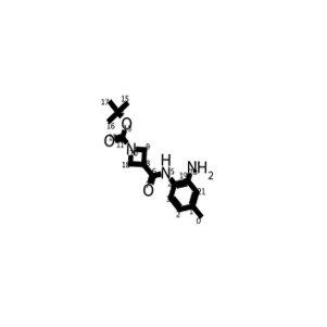 Cc1ccc(NC(=O)C2CN(C(=O)OC(C)(C)C)C2)c(N)c1